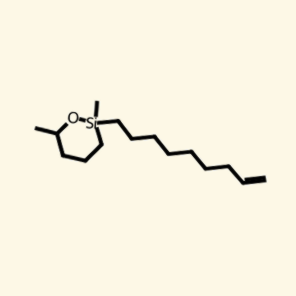 C=CCCCCCCC[Si]1(C)CCCC(C)O1